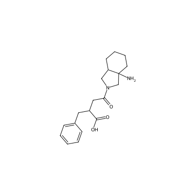 NC12CCCCC1CN(C(=O)CC(Cc1ccccc1)C(=O)O)C2